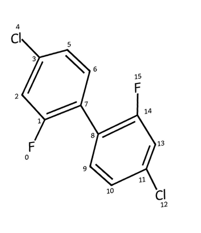 Fc1cc(Cl)ccc1-c1ccc(Cl)cc1F